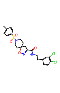 Cc1ccc(S(=O)(=O)N2CCC3(CC2)CC(C(=O)NCCc2ccc(Cl)c(Cl)c2)=NO3)cc1